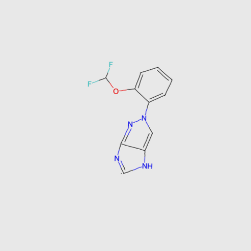 FC(F)Oc1ccccc1-n1cc2[nH][c]nc2n1